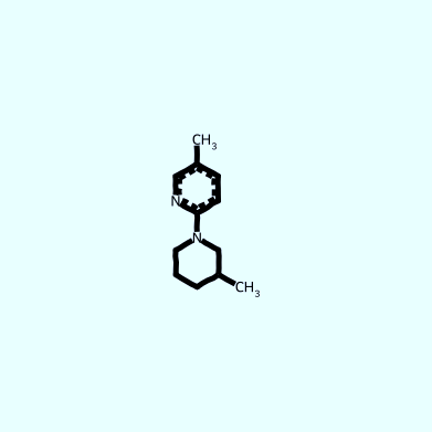 Cc1ccc(N2CCCC(C)C2)nc1